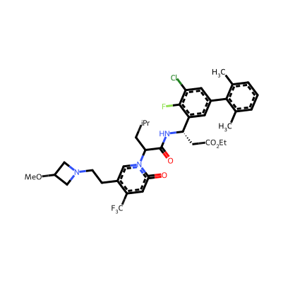 CCOC(=O)C[C@H](NC(=O)C(CC(C)C)n1cc(CCN2CC(OC)C2)c(C(F)(F)F)cc1=O)c1cc(-c2c(C)cccc2C)cc(Cl)c1F